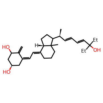 C=C1/C(=C\C=C2/CCCC3(C)C([C@@H](C)/C=C/C=C/C(O)(CC)CC)CC[C@@H]23)C[C@@H](O)CC1O